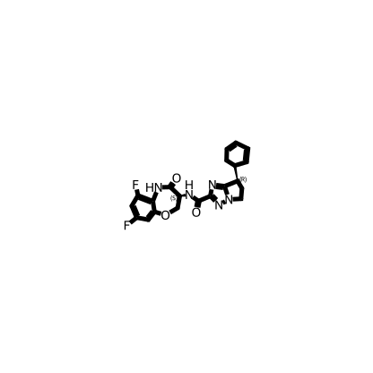 O=C(N[C@H]1COc2cc(F)cc(F)c2NC1=O)c1nc2n(n1)CC[C@@H]2C1C=CC=CC1